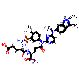 Cc1ccc(N(C(=O)CC[C@H](NC(=O)[C@@H](N)CCC(=O)O)C(=O)P)c2nccc(N(C)c3ccc4c(C)n(C)nc4c3)n2)cc1S(N)(=O)=O